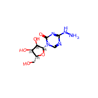 NNc1ncn([C@@H]2O[C@H](CO)[C@@H](O)[C@H]2O)c(=O)n1